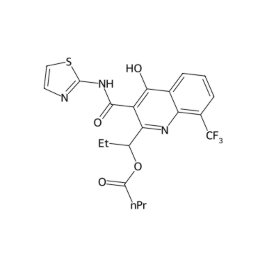 CCCC(=O)OC(CC)c1nc2c(C(F)(F)F)cccc2c(O)c1C(=O)Nc1nccs1